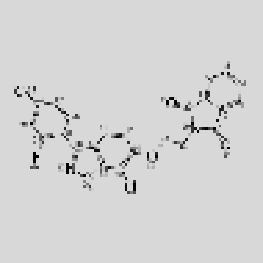 O=C1c2ccccc2C(=O)N1CCOc1ccc2c(-c3ccc(Cl)cc3F)noc2c1Cl